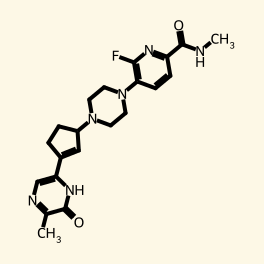 CNC(=O)c1ccc(N2CCN(C3C=C(c4cnc(C)c(=O)[nH]4)CC3)CC2)c(F)n1